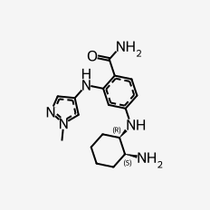 Cn1cc(Nc2cc(N[C@@H]3CCCC[C@@H]3N)ccc2C(N)=O)cn1